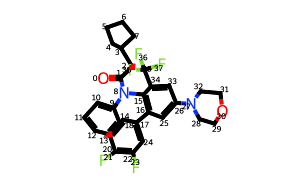 O=C(CC1CCCC1)N(c1ccccc1)c1c(-c2ccc(F)c(F)c2)cc(N2CCOCC2)cc1C(F)(F)F